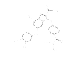 CN(C)C(=O)c1ccc(Cn2c(C(=O)O)cc3c(Cl)cc(Sc4ccc(Cl)c(Cl)c4)cc32)cc1